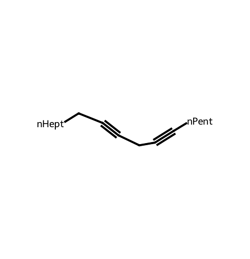 CCCCCC#CCC#CCCCCCCCC